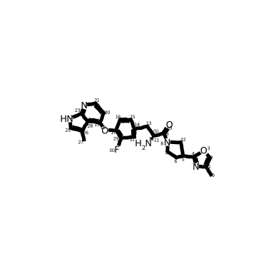 Cc1coc(C2CCN(C(=O)[C@@H](N)Cc3ccc(Oc4ccnc5[nH]cc(C)c45)c(F)c3)C2)n1